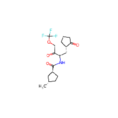 C[C@H]1CC[C@H](C(=O)NC(C[C@@H]2CCCC2=O)C(=O)COC(F)(F)F)C1